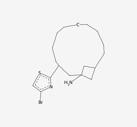 NC12CC(CCCCCCCCCC(c3nc(Br)cs3)C1)C2